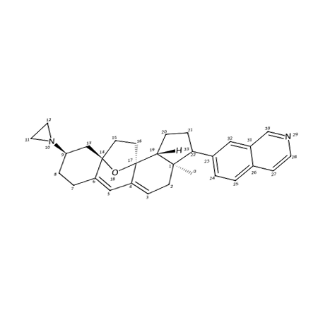 C[C@]12CC=C3C=C4CC[C@@H](N5CC5)C[C@]45CC[C@]3(O5)[C@@H]1CCC2c1ccc2ccncc2c1